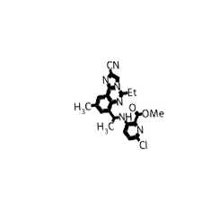 CCc1nc2c(C(C)Nc3ccc(Cl)nc3C(=O)OC)cc(C)cc2c2nc(C#N)cn12